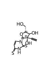 C#C[C@@]1(O)C(O)[C@@H](CO)O[C@H]1n1ccc(=S)[nH]c1=S